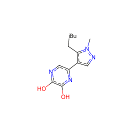 CCC(C)Cc1c(-c2cnc(O)c(O)n2)cnn1C